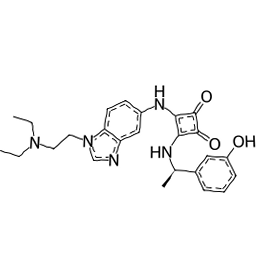 CCN(CC)CCn1cnc2cc(Nc3c(N[C@H](C)c4cccc(O)c4)c(=O)c3=O)ccc21